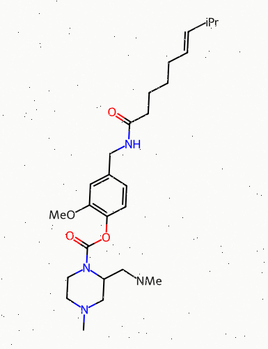 CNCC1CN(C)CCN1C(=O)Oc1ccc(CNC(=O)CCCCC=CC(C)C)cc1OC